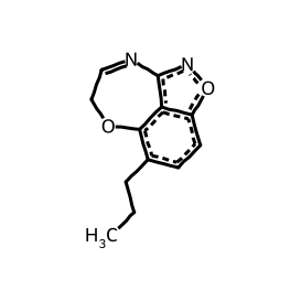 CCCc1ccc2onc3c2c1OCC=N3